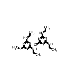 CCNc1nc(Cl)nc(NCC)n1.CCNc1nc(NCC)nc(SC)n1